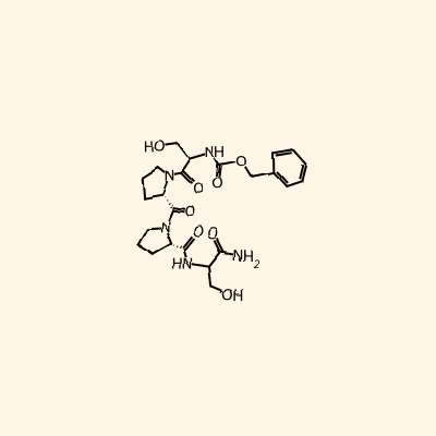 NC(=O)C(CO)NC(=O)[C@@H]1CCCN1C(=O)[C@@H]1CCCN1C(=O)C(CO)NC(=O)OCc1ccccc1